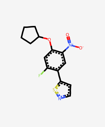 O=[N+]([O-])c1cc(-c2ccns2)c(F)cc1OC1CCCC1